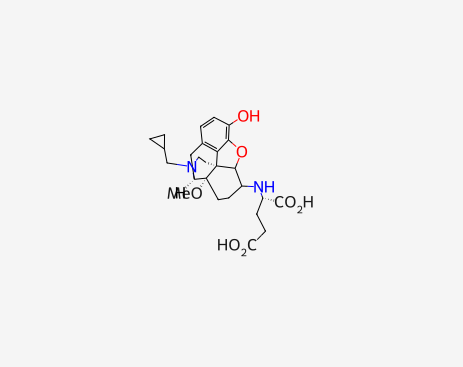 CO[C@@]12CCC(N[C@@H](CCC(=O)O)C(=O)O)C3Oc4c(O)ccc5c4[C@@]31CCN(CC1CC1)[C@@H]2C5